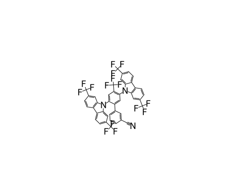 N#Cc1cccc(-c2cc(-n3c4cc(C(F)(F)F)ccc4c4ccc(C(F)(F)F)cc43)c(C(F)(F)F)cc2-n2c3cc(C(F)(F)F)ccc3c3ccc(C(F)(F)F)cc32)c1